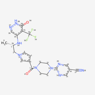 C[C@@H](Cn1ccc(C(=O)N2CCN(c3ncc(C#N)cn3)CC2)c1)Nc1cn[nH]c(=O)c1C(F)(F)F